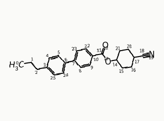 CCCc1ccc(-c2ccc(C(=O)OC3CCC(C#N)CC3)cc2)cc1